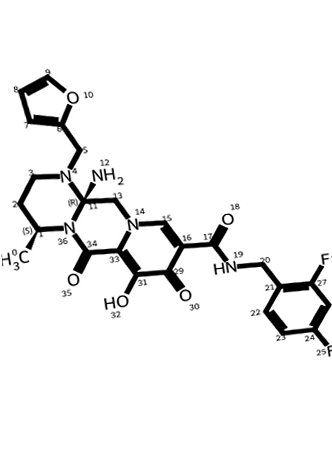 C[C@H]1CCN(Cc2ccco2)[C@]2(N)Cn3cc(C(=O)NCc4ccc(F)cc4F)c(=O)c(O)c3C(=O)N12